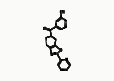 N#Cc1cccc(C(=O)C2CCc3nc(-c4ccccn4)oc3C2)c1